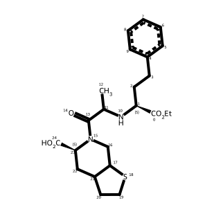 CCOC(=O)[C@H](CCc1ccccc1)NC(C)C(=O)N1CC2SCCC2C[C@H]1C(=O)O